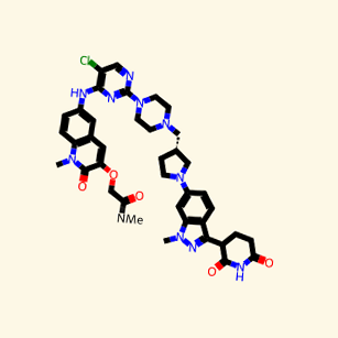 CNC(=O)COc1cc2cc(Nc3nc(N4CCN(C[C@H]5CCN(c6ccc7c(C8CCC(=O)NC8=O)nn(C)c7c6)C5)CC4)ncc3Cl)ccc2n(C)c1=O